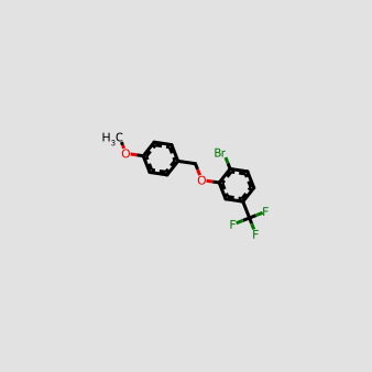 COc1ccc(COc2cc(C(F)(F)F)ccc2Br)cc1